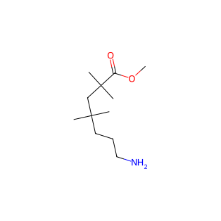 COC(=O)C(C)(C)CC(C)(C)CCCN